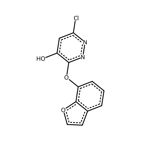 Oc1cc(Cl)nnc1Oc1cccc2ccoc12